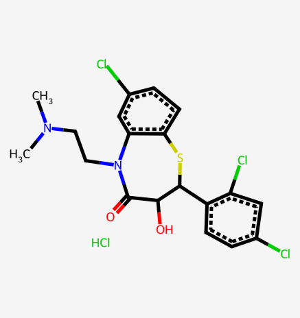 CN(C)CCN1C(=O)C(O)C(c2ccc(Cl)cc2Cl)Sc2ccc(Cl)cc21.Cl